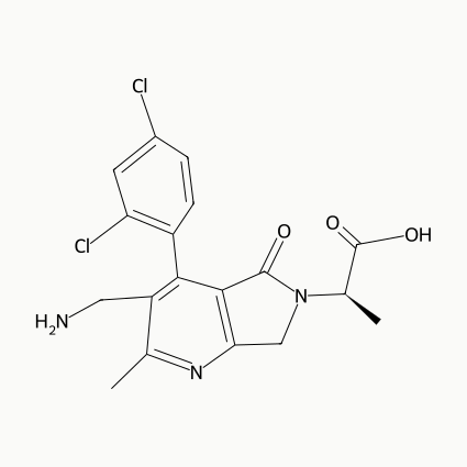 Cc1nc2c(c(-c3ccc(Cl)cc3Cl)c1CN)C(=O)N([C@H](C)C(=O)O)C2